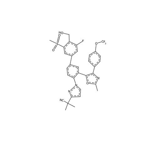 Cc1nc(-c2ccc(OC(F)(F)F)cc2)c(-c2cc(-c3cc(F)c(CO)c(S(C)(=O)=O)c3)ccc2-n2ccc(C(C)(C)C#N)n2)o1